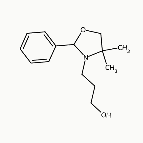 CC1(C)COC(c2ccccc2)N1CCCO